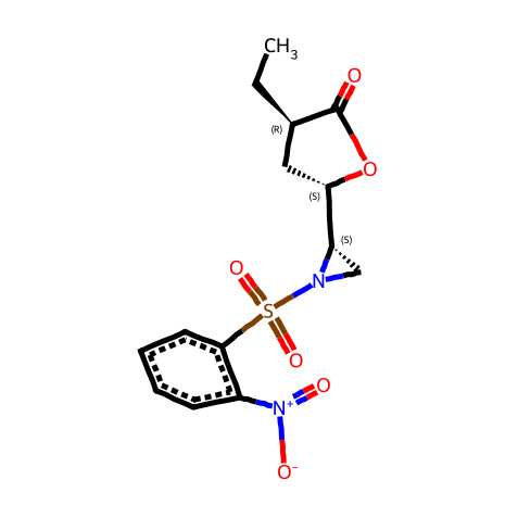 CC[C@@H]1C[C@@H]([C@@H]2CN2S(=O)(=O)c2ccccc2[N+](=O)[O-])OC1=O